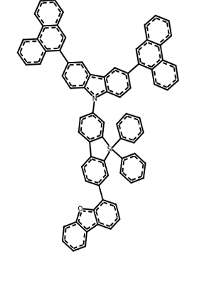 c1ccc([Si]2(c3ccccc3)c3cc(-c4cccc5c4oc4ccccc45)ccc3-c3ccc(-n4c5ccc(-c6cc7ccccc7c7ccccc67)cc5c5cc(-c6cc7ccccc7c7ccccc67)ccc54)cc32)cc1